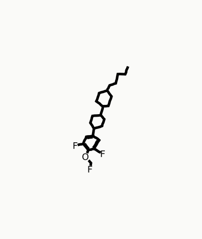 CCCCCC1CCC(C2CCC(c3cc(F)c(OCF)c(F)c3)CC2)CC1